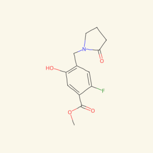 COC(=O)c1cc(O)c(CN2CCCC2=O)cc1F